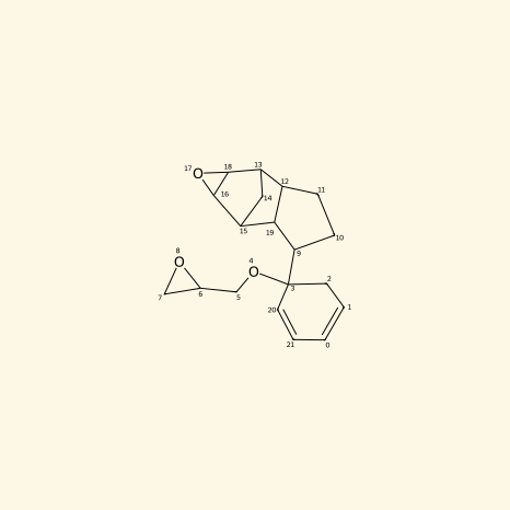 C1=CCC(OCC2CO2)(C2CCC3C4CC(C5OC45)C32)C=C1